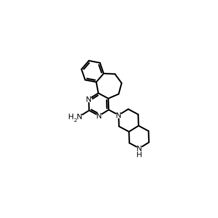 Nc1nc2c(c(N3CCC4CCNCC4C3)n1)CCCc1ccccc1-2